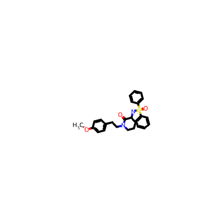 COc1ccc(CCN2CCCC(N=S(=O)(c3ccccc3)c3ccccc3)C2=O)cc1